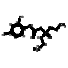 CCOP(=O)(CC(=O)Oc1ccc(F)cc1F)OCC